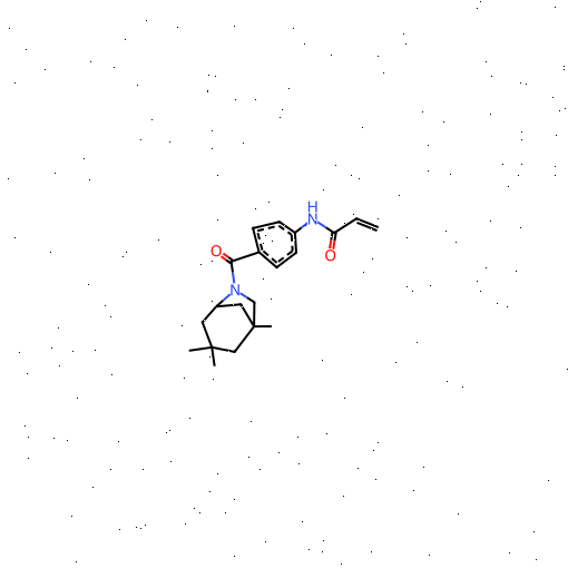 C=CC(=O)Nc1ccc(C(=O)N2CC3(C)CC2CC(C)(C)C3)cc1